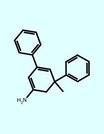 CC1(c2ccccc2)C=C(c2ccccc2)C=C(N)C1